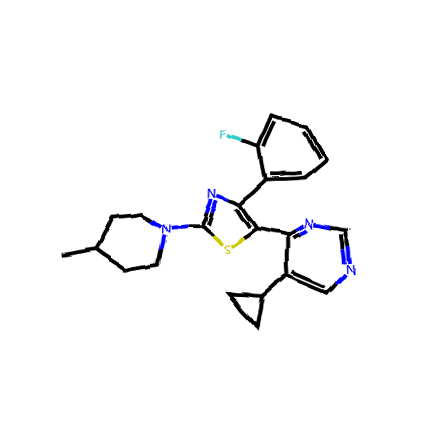 CC1CCN(c2nc(-c3ccccc3F)c(-c3n[c]ncc3C3CC3)s2)CC1